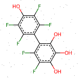 Oc1c(O)c(F)c(F)c(-c2c(F)c(F)c(O)c(F)c2F)c1O